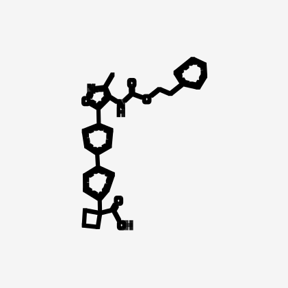 Cc1noc(-c2ccc(-c3ccc(C4(C(=O)O)CCC4)cc3)cc2)c1NC(=O)OCCc1ccccc1